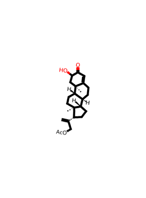 C=C(COC(C)=O)[C@H]1CC[C@H]2[C@@H]3CCC4=CC(=O)C(O)C[C@]4(C)[C@H]3CC[C@]12C